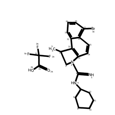 CC1CN(C(=N)NC2CCCCC2)c2ccc3c(Br)cccc3c21.O=C(O)C(F)(F)F